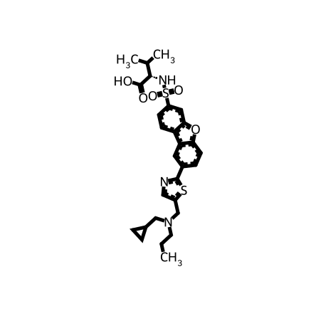 CCCN(Cc1cnc(-c2ccc3oc4cc(S(=O)(=O)N[C@H](C(=O)O)C(C)C)ccc4c3c2)s1)CC1CC1